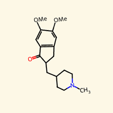 COc1cc2c(cc1OC)C(=O)C(CC1CCN(C)CC1)C2